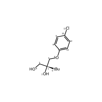 CC(C)(C)[C@@](O)(CO)COc1ccc(Cl)cc1